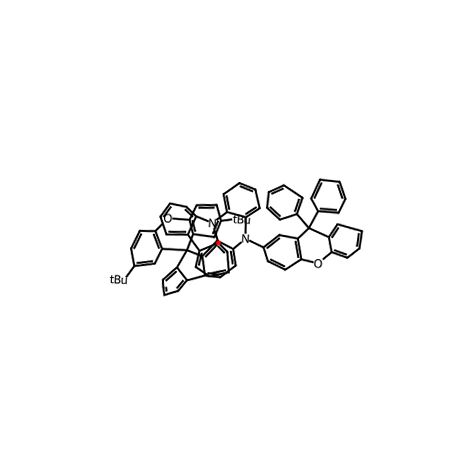 CC(C)(C)c1ccc2c(c1)C1(c3cc(C(C)(C)C)ccc3O2)c2ccccc2-c2ccc(N(c3ccc4c(c3)C(c3ccccc3)(c3ccccc3)c3ccccc3O4)c3ccccc3-n3c4ccccc4c4ccccc43)cc21